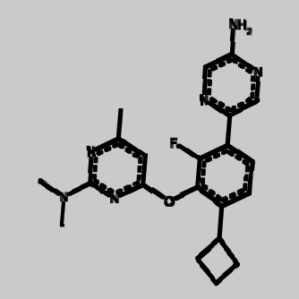 Cc1cc(Oc2c(C3CCC3)ccc(-c3cnc(N)cn3)c2F)nc(N(C)C)n1